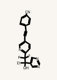 CCC(O)(c1cncnc1)C(F)(F)c1ccc(C#Cc2ccc(C#N)cc2)cn1